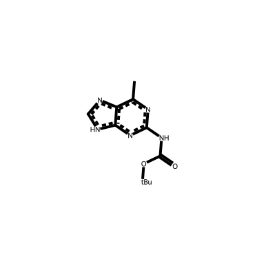 Cc1nc(NC(=O)OC(C)(C)C)nc2[nH]cnc12